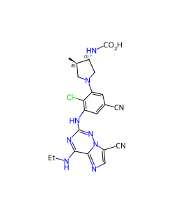 CCNc1nc(Nc2cc(C#N)cc(N3C[C@@H](C)[C@H](NC(=O)O)C3)c2Cl)nn2c(C#N)cnc12